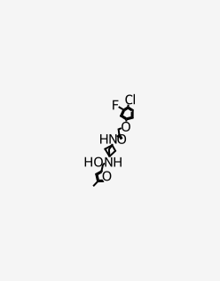 Cc1coc(C(O)NC23CC(NC(=O)COc4ccc(Cl)c(F)c4)(C2)C3)c1